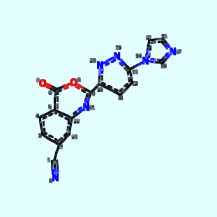 N#Cc1ccc2c(=O)oc(-c3ccc(-n4ccnc4)nn3)nc2c1